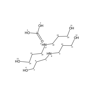 O=C(O)O.OCCCNCCCO.OCCCNCCCO